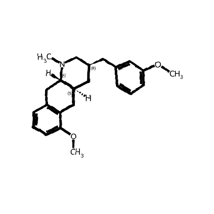 COc1cccc(C[C@H]2C[C@H]3Cc4c(cccc4OC)C[C@@H]3N(C)C2)c1